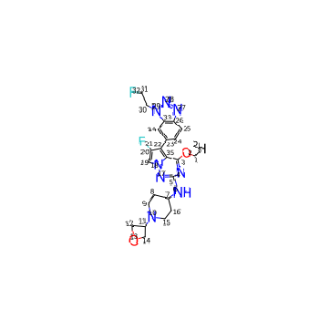 [2H]COc1nc(NC2CCN(C3COC3)CC2)nn2cc(F)c(-c3ccc4nnn(CCF)c4c3)c12